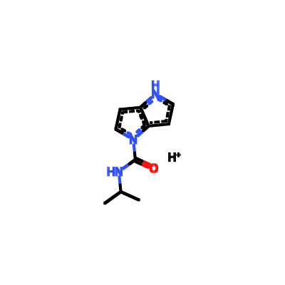 CC(C)NC(=O)n1ccc2[nH]ccc21.[H+]